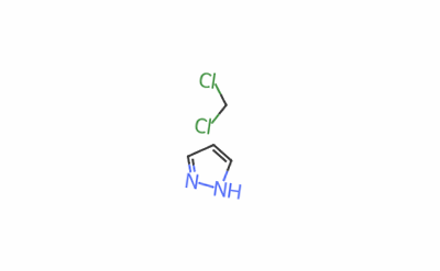 ClCCl.c1cn[nH]c1